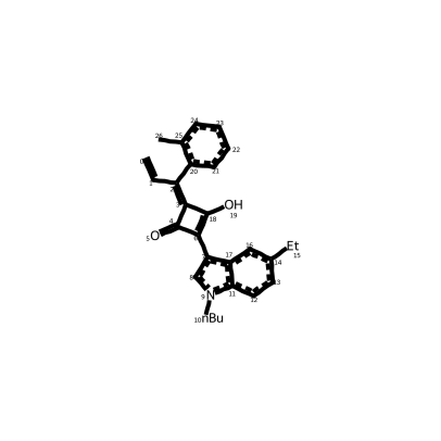 C=C/C(=C1\C(=O)C(c2cn(CCCC)c3ccc(CC)cc23)=C1O)c1ccccc1C